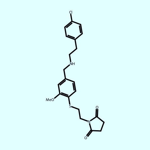 COc1cc(CNCCc2ccc(Cl)cc2)ccc1SCCN1C(=O)CCC1=O